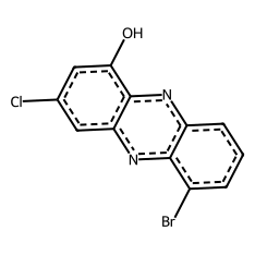 Oc1cc(Cl)cc2nc3c(Br)cccc3nc12